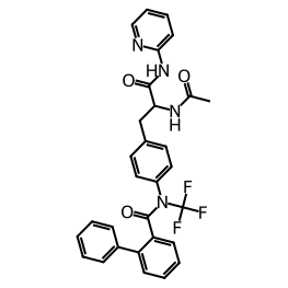 CC(=O)NC(Cc1ccc(N(C(=O)c2ccccc2-c2ccccc2)C(F)(F)F)cc1)C(=O)Nc1ccccn1